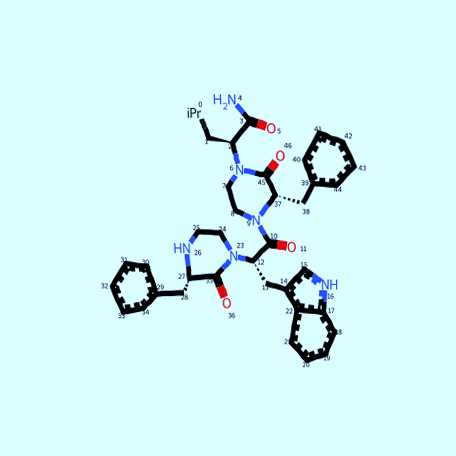 CC(C)C[C@@H](C(N)=O)N1CCN(C(=O)[C@H](Cc2c[nH]c3ccccc23)N2CCN[C@@H](Cc3ccccc3)C2=O)[C@@H](Cc2ccccc2)C1=O